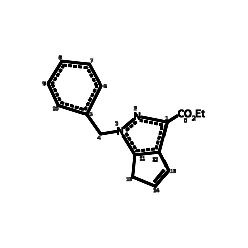 CCOC(=O)c1nn(Cc2ccccc2)c2c1C=CC2